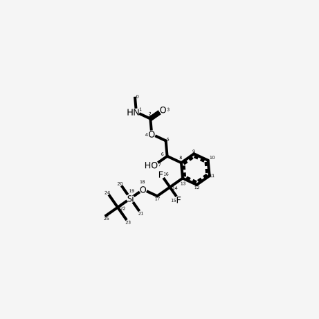 CNC(=O)OCC(O)c1ccccc1C(F)(F)CO[Si](C)(C)C(C)(C)C